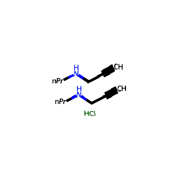 C#CCNCCC.C#CCNCCC.Cl